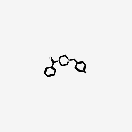 O=C(c1[c]cccc1)N1CCN(Cc2ccc(F)cc2)CC1